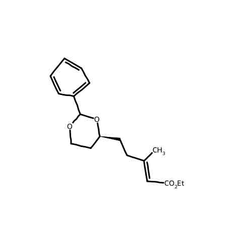 CCOC(=O)/C=C(\C)CC[C@H]1CCOC(c2ccccc2)O1